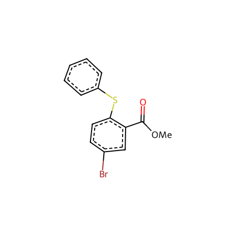 COC(=O)c1cc(Br)ccc1Sc1ccccc1